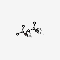 CC12CC3CC(C)(C1)CC(c1cc(C#Cc4ccccc4)cc(C#Cc4ccccc4)c1)(C3)C2.CC12CC3CC(C)(C1)CC(c1cc(C#Cc4ccccc4)cc(C#Cc4ccccc4)c1)(C3)C2